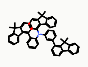 CC1(C)c2ccccc2-c2c(-c3ccccc3N(c3cccc(-c4cccc5c4C(C)(C)c4ccccc4-5)c3)c3cccc4c3-c3ccccc3C4(C)C)cccc21